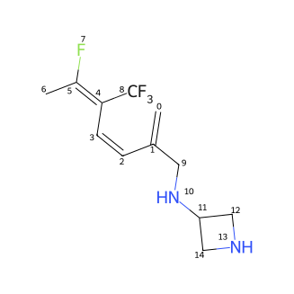 C=C(/C=C\C(=C(/C)F)C(F)(F)F)CNC1CNC1